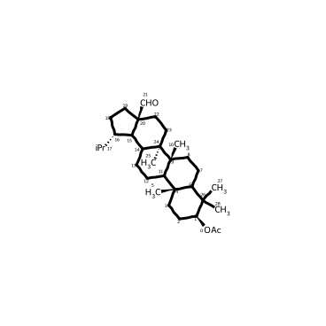 CC(=O)O[C@H]1CC[C@@]2(C)C(CC[C@]3(C)C2CCC2C4[C@H](C(C)C)CC[C@]4(C=O)CC[C@]23C)C1(C)C